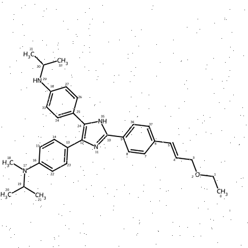 CCOC/C=C/c1ccc(-c2nc(-c3ccc(N(C)C(C)C)cc3)c(-c3ccc(NC(C)C)cc3)[nH]2)cc1